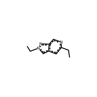 CCc1cc2cn(CC)nc2cn1